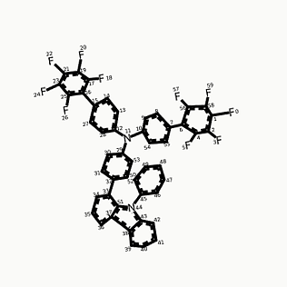 Fc1c(F)c(F)c(-c2ccc(N(c3ccc(-c4c(F)c(F)c(F)c(F)c4F)cc3)c3ccc(-c4cccc5c6ccccc6n(-c6ccccc6)c45)cc3)cc2)c(F)c1F